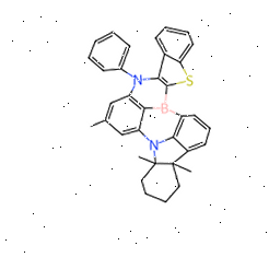 Cc1cc2c3c(c1)N1c4c(cccc4C4(C)CCCCC14C)B3c1sc3ccccc3c1N2c1ccccc1